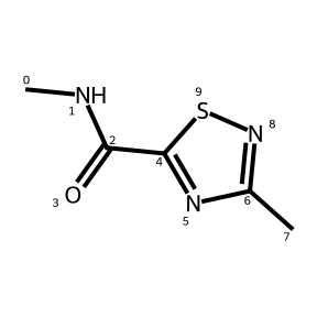 CNC(=O)c1nc(C)ns1